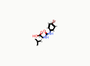 CC(C)C[C@@H](NC(=O)Nc1ccc(Br)cc1)C(=O)O